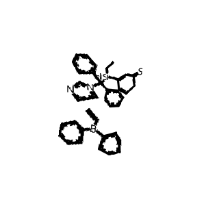 C=CB(c1ccccc1)c1ccccc1.CC[SiH](C1=CC(=S)CC=C1)C(c1ccccc1)(c1ccccc1)n1ccnc1